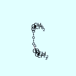 C=C(C)C(=O)COc1ccc(C#Cc2ccc(C#Cc3ccc4cc(/C=C/C(=O)OCOC(=O)C(=C)C)ccc4c3)cc2)cc1